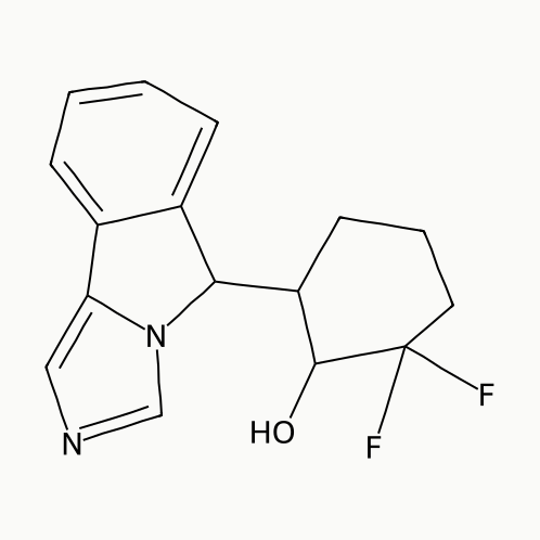 OC1C(C2c3ccccc3-c3cncn32)CCCC1(F)F